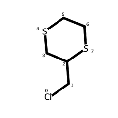 ClCC1CSCCS1